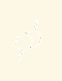 O=C1CCN2CC1CCC2=O